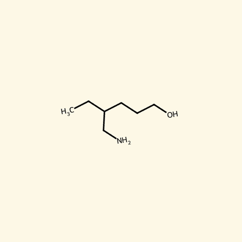 CCC(CN)CCCO